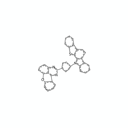 c1ccc2c(c1)Oc1cccc3nc(-c4ccc(-n5c6ccccc6c6ccc7c8ccccc8sc7c65)cc4)nc-2c13